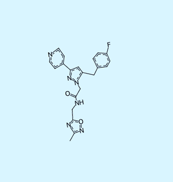 Cc1noc(CNC(=O)Cn2nc(-c3ccncc3)cc2Cc2ccc(F)cc2)n1